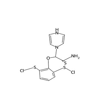 NC(=S)C(Oc1c(SCl)cccc1SCl)N1C=CNC=C1